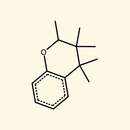 C[C]1Oc2ccccc2C(C)(C)C1(C)C